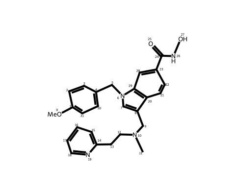 COc1ccc(Cn2cc(CN(C)CCc3ccccn3)c3ccc(C(=O)NO)cc32)cc1